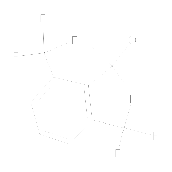 CC(C)([O])c1c(C(F)(F)F)cccc1C(F)(F)F